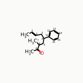 CC=CCC(CC(C)C(C)=O)c1ccccc1